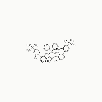 Cc1cc(C(C)(C)C)ccc1-c1cccc2c1C=C1[CH]2[Hf]([CH3])([CH3])[CH]2C(=Cc3c(-c4ccc(C(C)(C)C)cc4C)cccc32)[Si]1(c1ccccc1)c1ccccc1